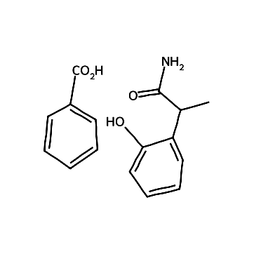 CC(C(N)=O)c1ccccc1O.O=C(O)c1ccccc1